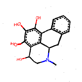 CN1CC(O)c2c(O)c(O)c(O)c3c2C1Cc1ccccc1-3